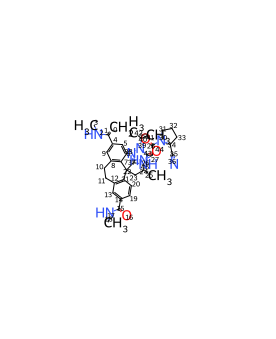 C=C(NC)c1ccc2c(c1)CCc1cc(C(=O)NC)ccc1C2(C[C@H](C)NCC(=O)N1CCCC1C#N)c1nn(C(C)C)c(=O)[nH]1